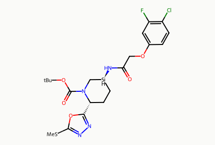 CSc1nnc([C@H]2CC[Si@H](NC(=O)COc3ccc(Cl)c(F)c3)CN2C(=O)OC(C)(C)C)o1